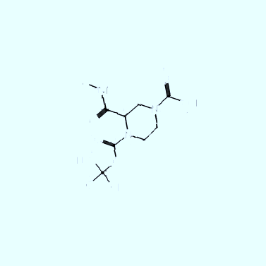 CNC(=O)C1CN(C(=O)O)CCN1C(=O)OC(C)(C)C